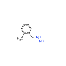 Cc1ccccc1CN[NH]